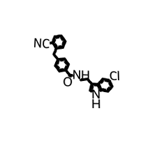 N#Cc1ccccc1Cc1ccc(C(=O)NCCc2c[nH]c3ccc(Cl)cc23)cc1